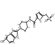 CS(=O)(=O)Cc1ccc(C(=O)NC2CCN(c3nc4cc(Cl)ccc4o3)CC2)o1